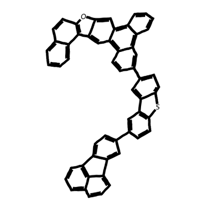 c1cc2c3c(cccc3c1)-c1cc(-c3ccc4sc5ccc(-c6ccc7c(c6)c6ccccc6c6cc8oc9ccc%10ccccc%10c9c8cc76)cc5c4c3)ccc1-2